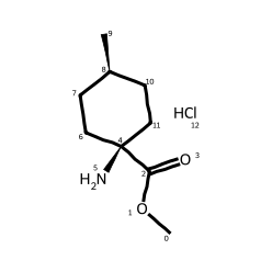 COC(=O)[C@]1(N)CC[C@@H](C)CC1.Cl